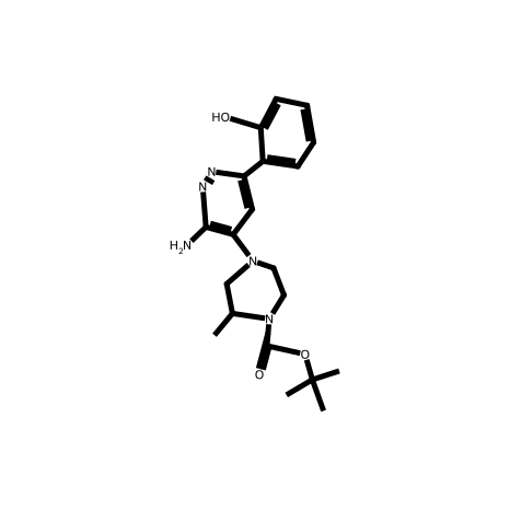 CC1CN(c2cc(-c3ccccc3O)nnc2N)CCN1C(=O)OC(C)(C)C